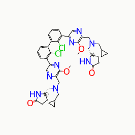 COc1nc(-c2cccc(-c3cccc(-c4cnc(CN(CC5CC5)C[C@@H]5CCC(=O)N5)c(OC)n4)c3Cl)c2Cl)cnc1CN(CC1CC1)C[C@@H]1CCC(=O)N1